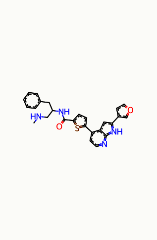 CNCC(Cc1ccccc1)NC(=O)c1ccc(-c2ccnc3[nH]c(-c4ccoc4)cc23)s1